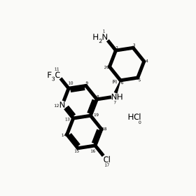 Cl.NC1CCC[C@@H](Nc2cc(C(F)(F)F)nc3ccc(Cl)cc23)C1